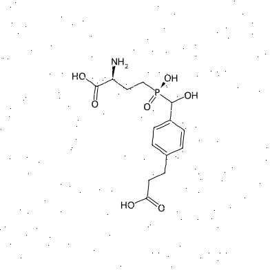 N[C@@H](CC[P@](=O)(O)C(O)c1ccc(CCC(=O)O)cc1)C(=O)O